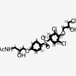 CC(=O)NC[C@@H](O)COc1ccc(S(=O)(=O)c2cc(Cl)c(OC[C@@H](O)CCl)c(Cl)c2)cc1